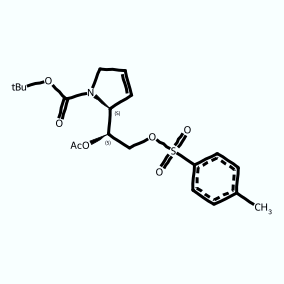 CC(=O)O[C@H](COS(=O)(=O)c1ccc(C)cc1)[C@@H]1C=CCN1C(=O)OC(C)(C)C